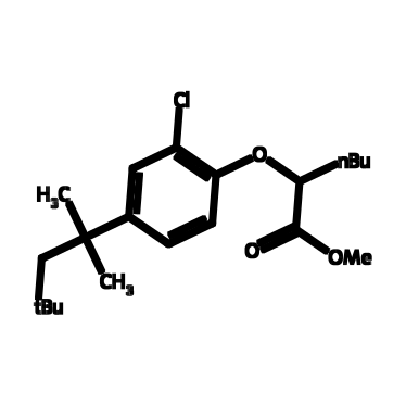 CCCCC(Oc1ccc(C(C)(C)CC(C)(C)C)cc1Cl)C(=O)OC